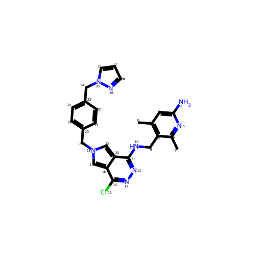 Cc1cc(N)nc(C)c1CNc1nnc(Cl)c2cn(Cc3ccc(Cn4cccn4)cc3)cc12